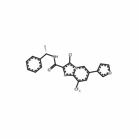 C[C@H](NC(=O)c1nc2c(C(F)(F)F)cc(-c3ccoc3)cn2c1Cl)c1ccccc1